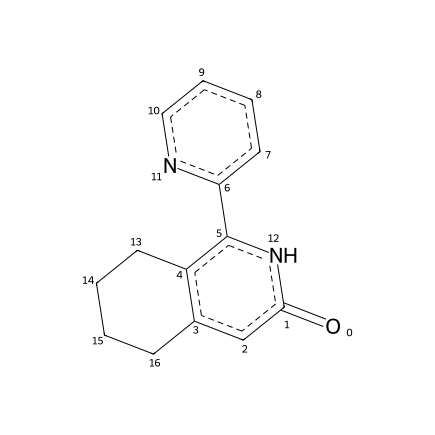 O=c1cc2c(c(-c3ccccn3)[nH]1)CCCC2